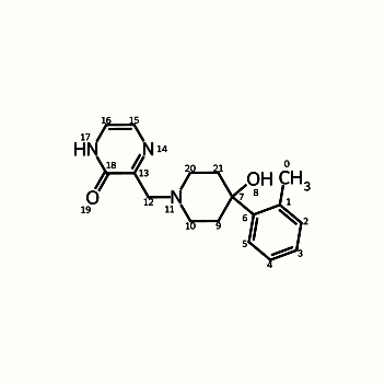 Cc1ccccc1C1(O)CCN(Cc2ncc[nH]c2=O)CC1